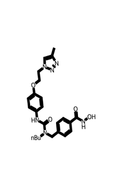 CCCCN(Cc1ccc(C(=O)NO)cc1)C(=O)Nc1ccc(OCCn2cc(C)nn2)cc1